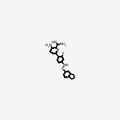 N=C(N)c1nc(-c2ccc(NSc3ccc4c(c3)CCC4)cc2F)ccc1N